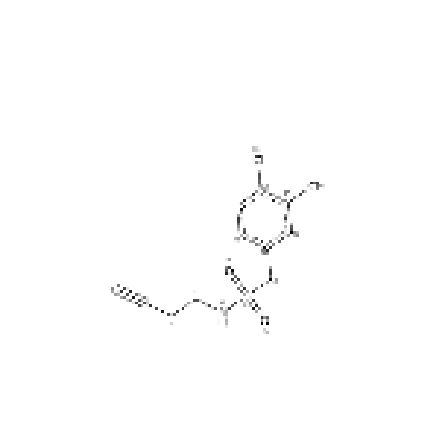 C#CCCNS(=O)(=O)Cc1ccc(Cl)c(Cl)c1